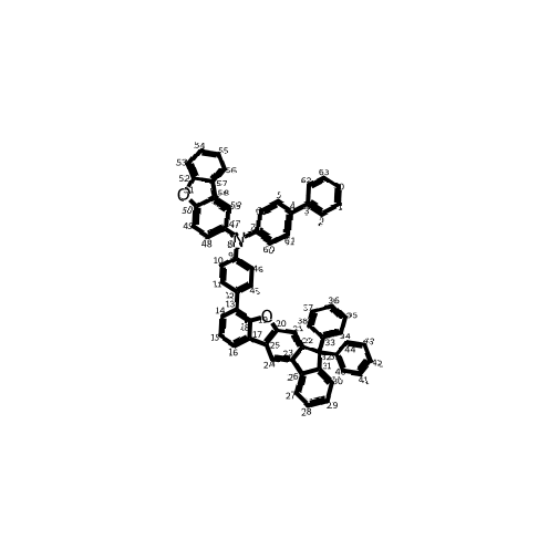 c1ccc(-c2ccc(N(c3ccc(-c4cccc5c4oc4cc6c(cc45)-c4ccccc4C6(c4ccccc4)c4ccccc4)cc3)c3ccc4oc5ccccc5c4c3)cc2)cc1